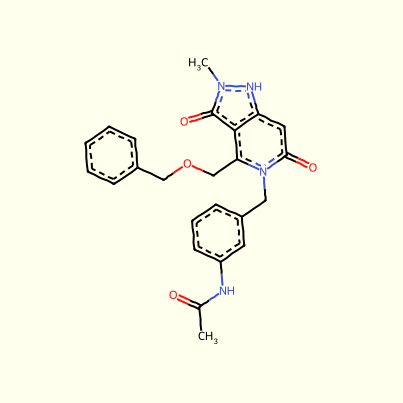 CC(=O)Nc1cccc(Cn2c(COCc3ccccc3)c3c(=O)n(C)[nH]c3cc2=O)c1